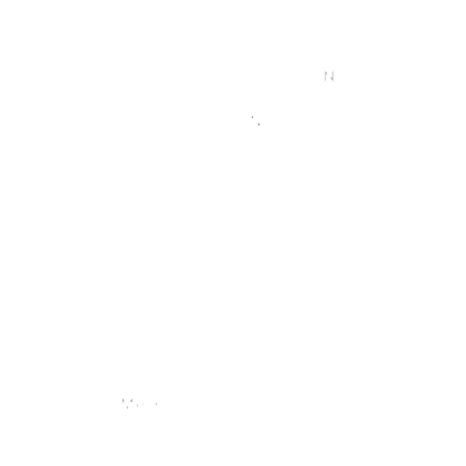 COCC=Cc1ccc(CN2CCNCC2)cc1